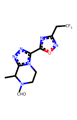 CC1c2nnc(-c3nc(CC(F)(F)F)no3)n2CCN1C=O